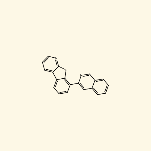 c1ccc2cc(-c3cccc4c3oc3ncccc34)ncc2c1